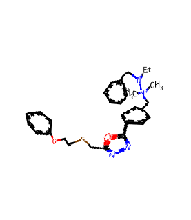 CCN(Cc1ccccc1)[N+](C)(C)Cc1ccc(-c2nnc(CSCCOc3ccccc3)o2)cc1